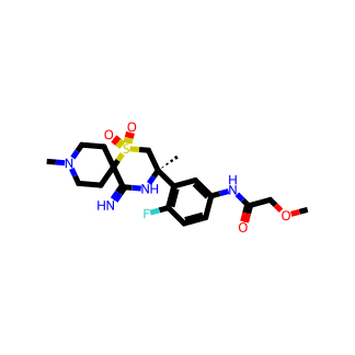 COCC(=O)Nc1ccc(F)c([C@]2(C)CS(=O)(=O)C3(CCN(C)CC3)C(=N)N2)c1